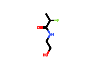 CC(F)C(=O)NCCO